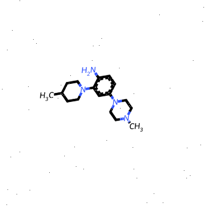 CC1CCN(c2cc(N3CCN(C)CC3)ccc2N)CC1